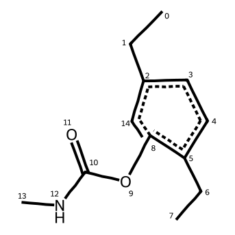 CCc1ccc(CC)c(OC(=O)NC)c1